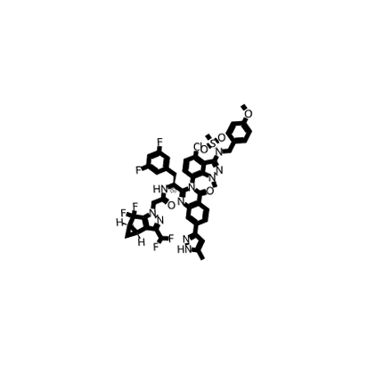 COc1ccc(CN(c2nn(C)c3c(-n4c([C@H](Cc5cc(F)cc(F)c5)NC(=O)Cn5nc(C(F)F)c6c5C(F)(F)[C@@H]5C[C@H]65)nc5cc(-c6cc(C)[nH]n6)ccc5c4=O)ccc(Cl)c23)S(C)(=O)=O)cc1